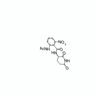 CC(=O)Nc1cccc([N+](=O)[O-])c1C(=O)N[C@@H]1CCC(=O)NC1=O